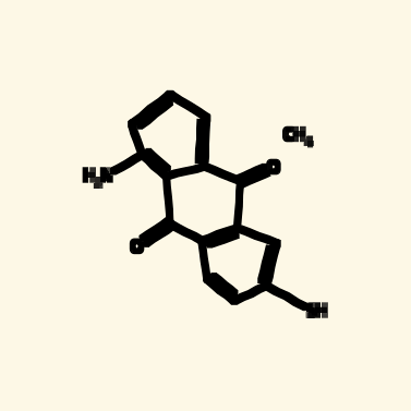 C.Nc1cccc2c1C(=O)c1ccc(S)cc1C2=O